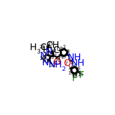 Cc1ccc(NC(=O)Nc2ccc(F)c(F)c2)cc1C(=O)c1cn(C(C)C)c2ncnc(N)c12